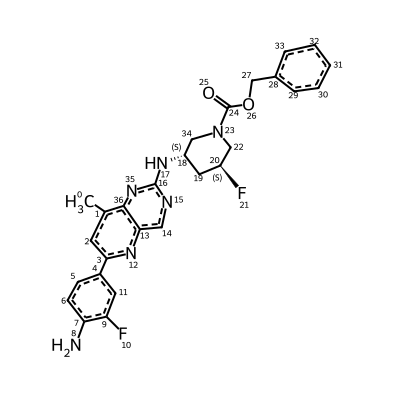 Cc1cc(-c2ccc(N)c(F)c2)nc2cnc(N[C@H]3C[C@H](F)CN(C(=O)OCc4ccccc4)C3)nc12